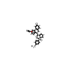 Cc1ccc(S(=O)(=O)N2CCC[C@H]2C(=O)N(Cc2ccc(Cl)cc2)C23CCC(C#N)(CC2)CC3)cc1